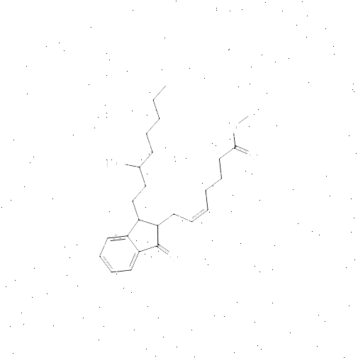 CCCCCC(O)CCC1c2ccccc2C(=O)C1C/C=C\CCCC(=O)OC